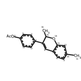 CC(=O)Oc1ccc(C2=Cc3ccc(C)cc3OC2C)cc1